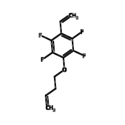 C=CCCOc1c(F)c(F)c(C=C)c(F)c1F